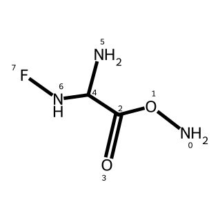 NOC(=O)C(N)NF